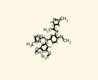 C=Nc1ccc(N(Cc2nc(C)c[nH]2)c2cc(OC)cc(OC)c2)cc1/N=C(\C)c1cnn(C)c1